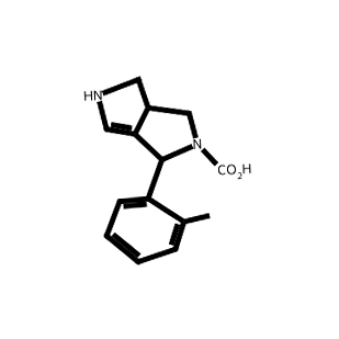 Cc1ccccc1C1C2=CNCC2CN1C(=O)O